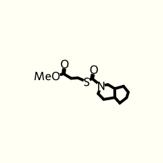 COC(=O)CCSC(=O)N1CCC2CCCCC2C1